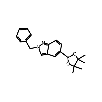 CC1(C)OB(c2ccc3nn(Cc4ccccc4)cc3c2)OC1(C)C